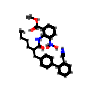 CCCCC(Cc1ccc(-c2ccccc2C#N)cc1)C(=O)Nc1c(C(=O)OC)cccc1[N+](=O)[O-]